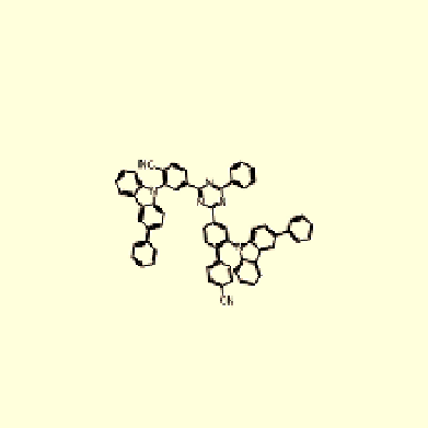 N#Cc1ccc(-c2ccc(-c3nc(-c4ccccc4)nc(-c4ccc(C#N)c(-n5c6ccccc6c6cc(-c7ccccc7)ccc65)c4)n3)cc2-n2c3ccccc3c3cc(-c4ccccc4)ccc32)cc1